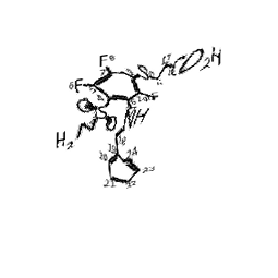 NS(=O)(=O)c1c(F)c(F)c(SCCC(=O)O)c(F)c1NCc1ccccc1